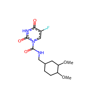 COC1CCC(CNC(=O)n2cc(F)c(=O)[nH]c2=O)CC1OC